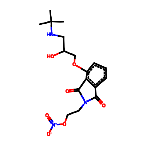 CC(C)(C)NCC(O)COc1cccc2c1C(=O)N(CCO[N+](=O)[O-])C2=O